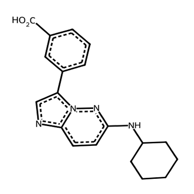 O=C(O)c1cccc(-c2cnc3ccc(NC4CCCCC4)nn23)c1